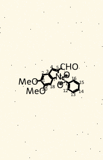 COc1cc2cc(C=O)n(S(=O)(=O)c3ccccc3)c2cc1OC